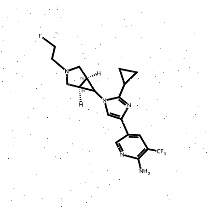 Nc1ncc(-c2cn(C3[C@H]4CN(CCF)C[C@@H]34)c(C3CC3)n2)cc1C(F)(F)F